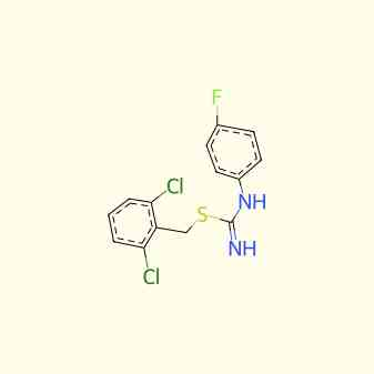 N=C(Nc1ccc(F)cc1)SCc1c(Cl)cccc1Cl